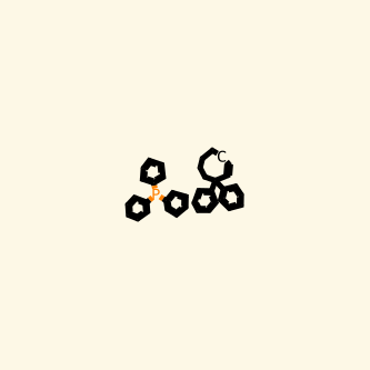 C1#CC(c2ccccc2)(c2ccccc2)CCCCC1.c1ccc(P(c2ccccc2)c2ccccc2)cc1